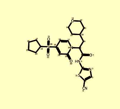 N#Cc1cnc(NC(=O)C(CC2CCOCC2)n2ccc(S(=O)(=O)C3CCCC3)cc2=O)s1